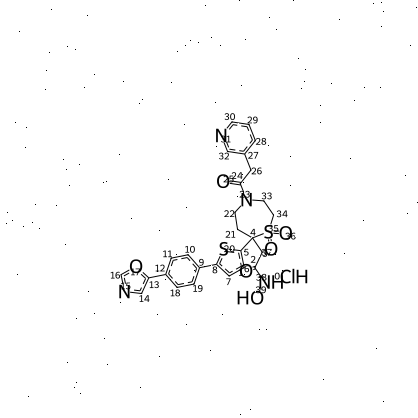 Cl.O=C(CC1(c2ccc(-c3ccc(-c4cnco4)cc3)s2)CCN(C(=O)Cc2cccnc2)CCS1(=O)=O)NO